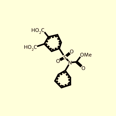 COC(=O)N(c1ccccc1)S(=O)(=O)c1ccc(C(=O)O)c(C(=O)O)c1